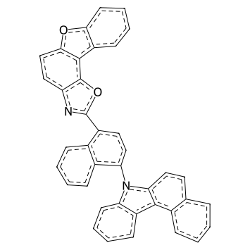 c1ccc2c(c1)ccc1c2c2ccccc2n1-c1ccc(-c2nc3ccc4oc5ccccc5c4c3o2)c2ccccc12